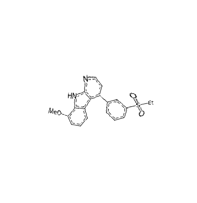 CCS(=O)(=O)c1cccc(-c2ccnc3[nH]c4c(OC)cccc4c23)c1